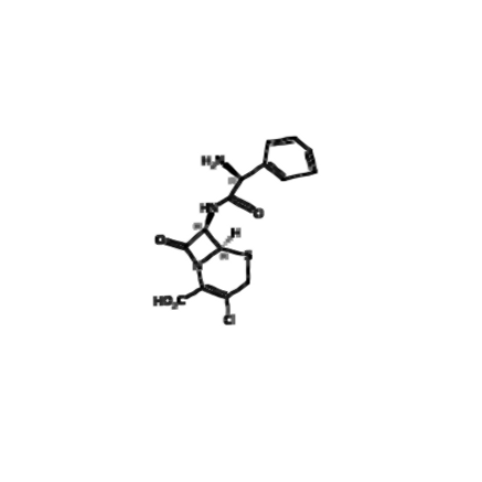 N[C@H](C(=O)N[C@@H]1C(=O)N2C(C(=O)O)=C(Cl)CS[C@H]12)c1ccccc1